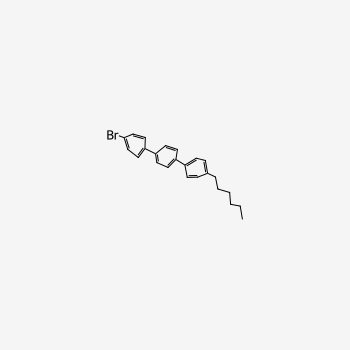 CCCCCCc1ccc(-c2ccc(-c3ccc(Br)cc3)cc2)cc1